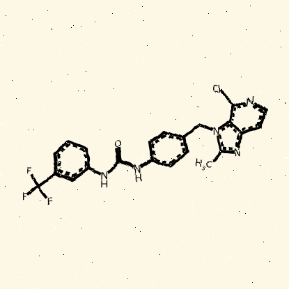 Cc1nc2ccnc(Cl)c2n1Cc1ccc(NC(=O)Nc2cccc(C(F)(F)F)c2)cc1